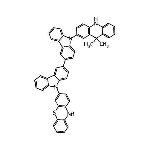 CC1(C)c2ccccc2Nc2ccc(-n3c4ccccc4c4cc(-c5ccc6c(c5)c5ccccc5n6-c5ccc6c(c5)Sc5ccccc5N6)ccc43)cc21